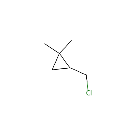 CC1(C)CC1CCl